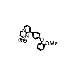 COc1ccccc1Oc1ccc(C2=CC=CN3CCS(=O)(=O)N=C23)cc1